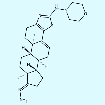 C[C@]12CCc3nc(NN4CCOCC4)sc3C1=CC[C@@H]1[C@@H]2CC[C@]2(C)/C(=N/N)CC[C@@H]12